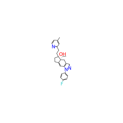 CC[C@]12Cc3cnn(-c4ccc(F)cc4)c3C=C1CC[C@@]2(O)CCc1cc(C)ccn1